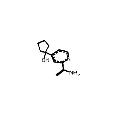 C=C(N)c1cc(C2(O)CCCC2)ccn1